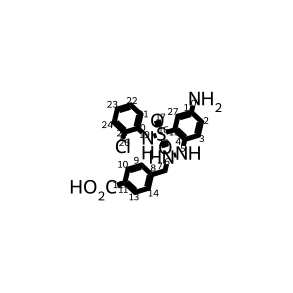 Nc1ccc(NNCc2ccc(C(=O)O)cc2)c(S(=O)(=O)Nc2ccccc2Cl)c1